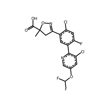 CC1(C(=O)O)CC(c2cc(-c3ncc(OC(F)F)cc3Cl)c(F)cc2Cl)=NO1